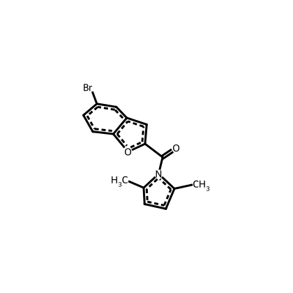 Cc1ccc(C)n1C(=O)c1cc2cc(Br)ccc2o1